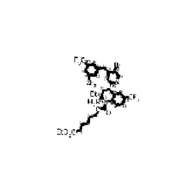 CCOC(=O)CCCCCOC(=O)N1c2ccc(C(F)(F)F)cc2[C@@H](c2ncc(Br)c(Cc3cc(C(F)(F)F)cc(C(F)(F)F)c3)n2)C[C@@]1(N)CC